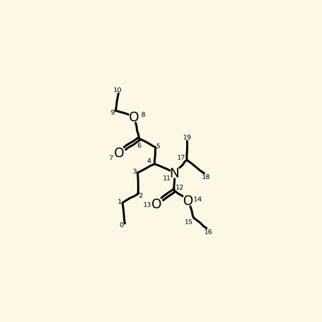 CCCCC(CC(=O)OCC)N(C(=O)OCC)C(C)C